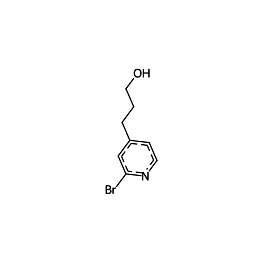 OCCCc1ccnc(Br)c1